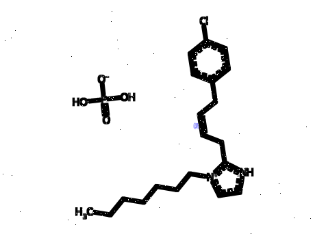 CCCCCCC[n+]1cc[nH]c1C/C=C\Cc1ccc(Cl)cc1.O=P([O-])(O)O